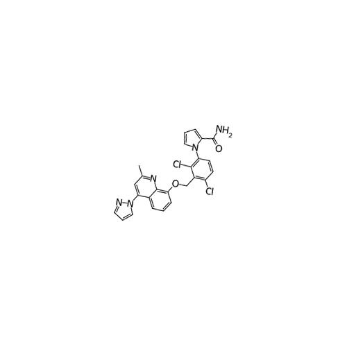 Cc1cc(-n2cccn2)c2cccc(OCc3c(Cl)ccc(-n4cccc4C(N)=O)c3Cl)c2n1